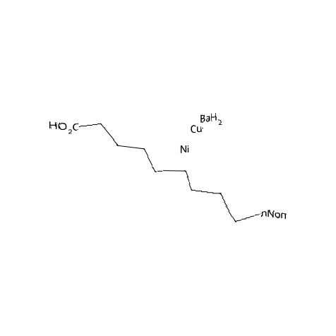 CCCCCCCCCCCCCCCCCC(=O)O.[BaH2].[Cu].[Ni]